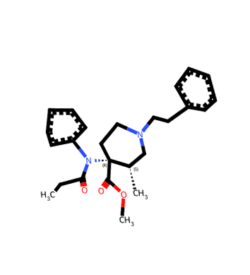 CCC(=O)N(c1ccccc1)[C@]1(C(=O)OC)CCN(CCc2ccccc2)C[C@@H]1C